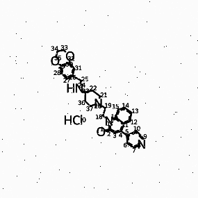 Cl.O=c1cc(-c2ccncc2)c2ccccc2n1CCN1CCC(NCc2ccc3c(c2)OCCO3)CC1